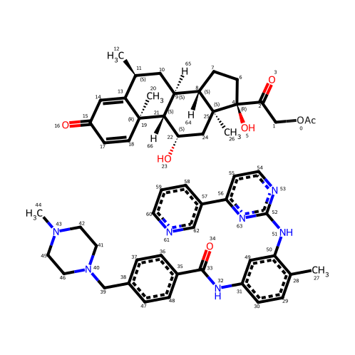 CC(=O)OCC(=O)[C@@]1(O)CC[C@H]2[C@@H]3C[C@H](C)C4=CC(=O)C=C[C@]4(C)[C@H]3[C@@H](O)C[C@@]21C.Cc1ccc(NC(=O)c2ccc(CN3CCN(C)CC3)cc2)cc1Nc1nccc(-c2cccnc2)n1